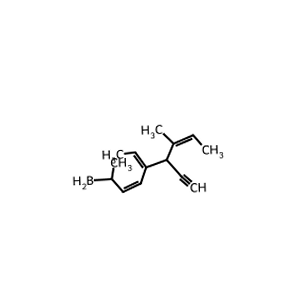 BC(C)/C=C\C(=C/C)C(C#C)/C(C)=C\C